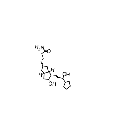 NC(=O)CCC=C1C[C@H]2C[C@@H](O)[C@H](C=C[C@@H](O)C3CCCC3)[C@H]2C1